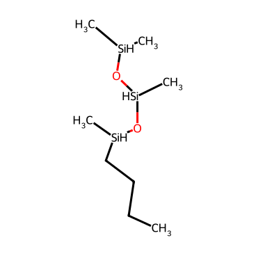 CCCC[SiH](C)O[SiH](C)O[SiH](C)C